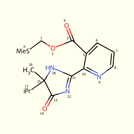 CSCOC(=O)c1cccnc1C1=NC(=O)C(C)(C(C)C)N1